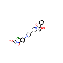 O=C(c1ccc(N2CCC(C3CCN(C(=O)[C@](O)(c4ccccc4)C(F)(F)F)CC3)CC2)cc1Cl)N1CC(O)C1